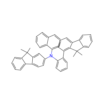 CC1(C)c2ccccc2-c2ccc(N(c3ccccc3-c3cccc4c3C(C)(C)c3ccccc3-4)c3cccc4ccccc34)cc21